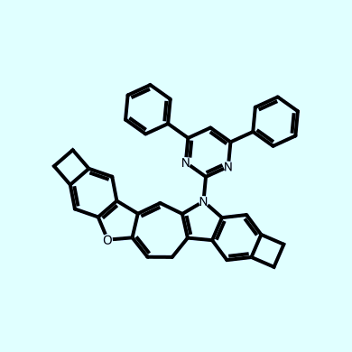 C1=c2oc3cc4c(cc3c2=Cc2c(c3cc5c(cc3n2-c2nc(-c3ccccc3)cc(-c3ccccc3)n2)CC5)C1)CC4